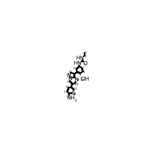 CCNC(=O)Nc1cccc(-c2cnn3cc(-c4ccc(N)nc4)cnc23)c1.Cl